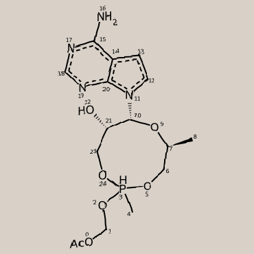 CC(=O)OCO[PH]1(C)OC[C@H](C)O[C@@H](n2ccc3c(N)ncnc32)[C@@H](O)CO1